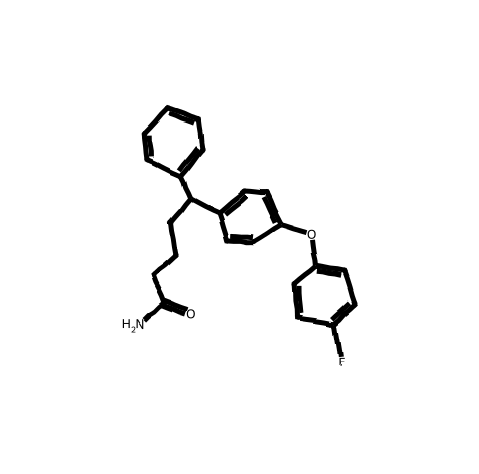 NC(=O)CCCC(c1ccccc1)c1ccc(Oc2ccc(F)cc2)cc1